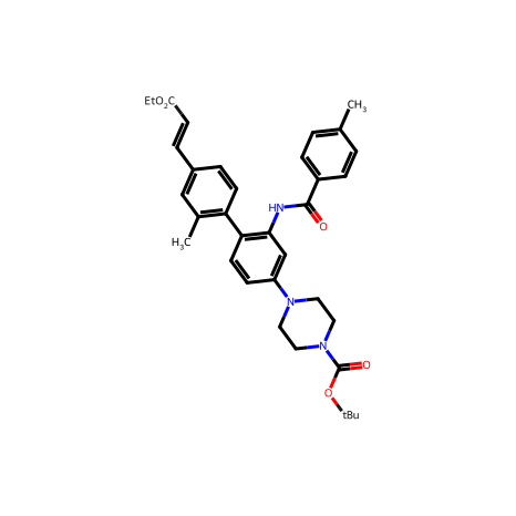 CCOC(=O)/C=C/c1ccc(-c2ccc(N3CCN(C(=O)OC(C)(C)C)CC3)cc2NC(=O)c2ccc(C)cc2)c(C)c1